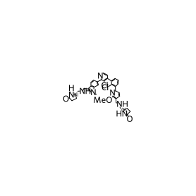 COc1nc(-c2cccc(-c3ccnc(-c4ccc5c(CNC[C@@H]6CCC(=O)N6)cn(C)c5c4)c3Cl)c2Cl)ccc1CNC[C@@H]1CCC(=O)N1